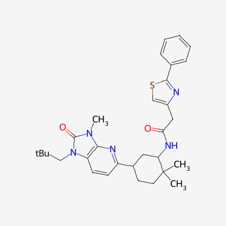 Cn1c(=O)n(CC(C)(C)C)c2ccc(C3CCC(C)(C)C(NC(=O)Cc4csc(-c5ccccc5)n4)C3)nc21